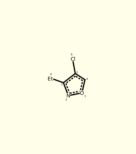 CCc1nocc1Cl